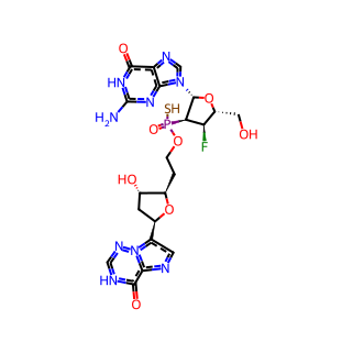 Nc1nc2c(ncn2[C@@H]2O[C@H](CO)[C@@H](F)[C@H]2P(=O)(S)OCC[C@H]2O[C@@H](c3cnc4c(=O)[nH]cnn34)C[C@@H]2O)c(=O)[nH]1